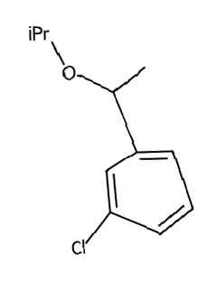 CC(C)OC(C)c1cccc(Cl)c1